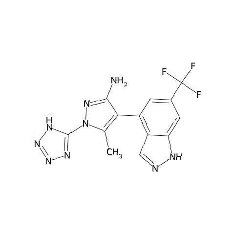 Cc1c(-c2cc(C(F)(F)F)cc3[nH]ncc23)c(N)nn1-c1nnn[nH]1